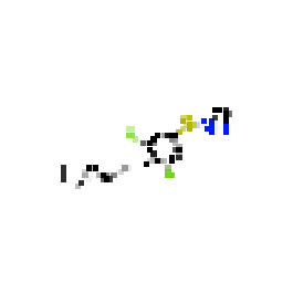 C=CCCc1c(F)cc(SNCC)cc1F